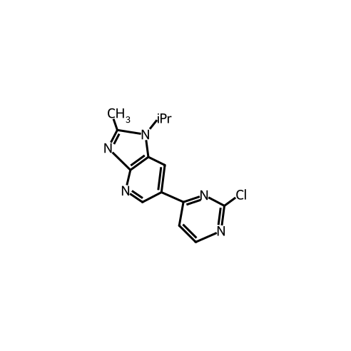 Cc1nc2ncc(-c3ccnc(Cl)n3)cc2n1C(C)C